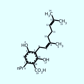 CCCc1cc(O)c(CC=C(C)CCC=C(C)C)c(O)c1C(=O)O